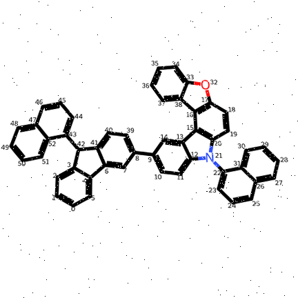 c1ccc2c(c1)-c1cc(-c3ccc4c(c3)c3c5c(ccc3n4-c3cccc4ccccc34)oc3ccccc35)ccc1C2c1cccc2ccccc12